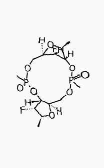 C[C@@H]1O[C@@H]2COP(C)(=O)O[C@@H]3[C@@H](F)[C@@H](COP(C)(=O)O[C@H]2[C@H]1F)O[C@H]3C